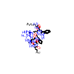 CNC[C@H](NC(=O)[C@H](Cc1c[nH]c2ccccc12)NC(=O)[C@H](CCCNC(=N)N)NC(=O)[C@@H](Cc1ccccc1)NC(=O)[C@H](Cc1cnc[nH]1)NC(=O)[C@@H](C)N1C(=O)N[C@@H](CCC(C)=O)C1=O)C(N)=O